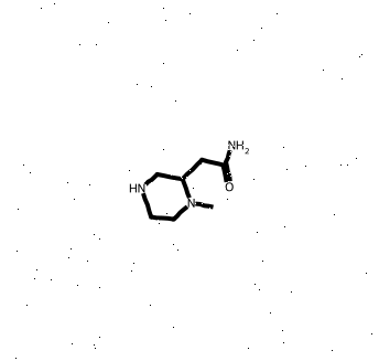 CN1CCNCC1CC(N)=O